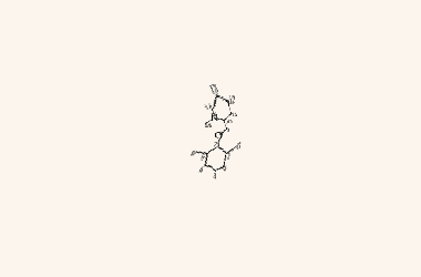 CC1CCCC(C)C1OCC1CCCCN1C